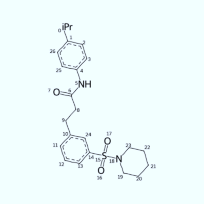 CC(C)c1ccc(NC(=O)CCc2cccc(S(=O)(=O)N3CCCCC3)c2)cc1